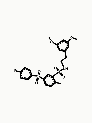 COc1cc(CCNS(=O)(=O)c2cc(S(=O)(=O)c3ccc(F)cc3)ccc2C)cc(OC)c1